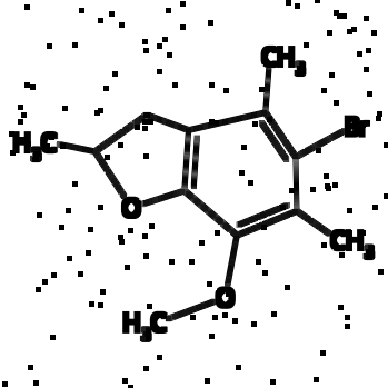 COc1c(C)c(Br)c(C)c2c1OC(C)C2